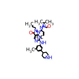 C=CCn1c(=O)c2cnc(Nc3cc(C)cc(C4CCNCC4)c3)nc2n1C(/C=C\C)=N/N(C=O)C(C)C